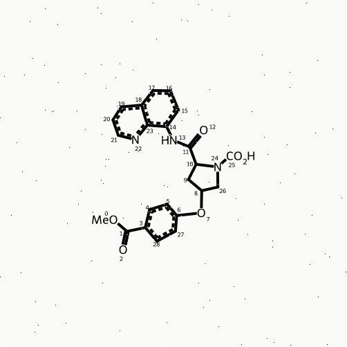 COC(=O)c1ccc(OC2CC(C(=O)Nc3cccc4cccnc34)N(C(=O)O)C2)cc1